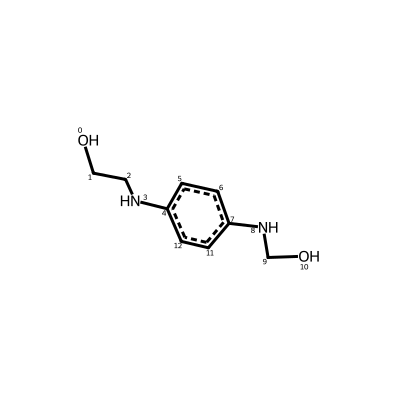 OCCNc1ccc(NCO)cc1